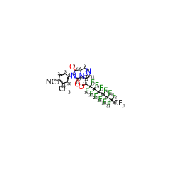 N#Cc1ccc(N2C(=O)C3CN4CC(C(=O)C(F)(F)C(F)(F)C(F)(F)C(F)(F)C(F)(F)C(F)(F)C(F)(F)F)[N+]3(C4)C2=O)cc1C(F)(F)F